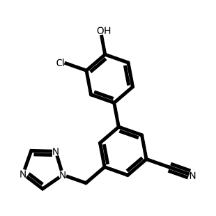 N#Cc1cc(Cn2cncn2)cc(-c2ccc(O)c(Cl)c2)c1